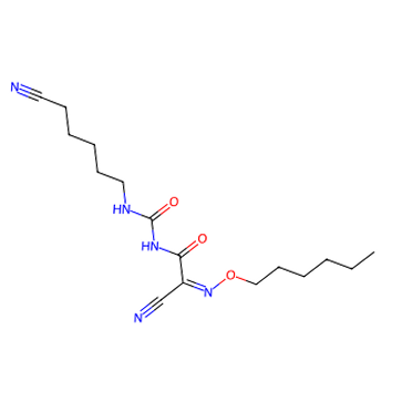 CCCCCCON=C(C#N)C(=O)NC(=O)NCCCCCC#N